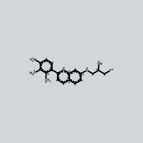 Cc1c(N)ccc(-c2ccc3ccc(OCC(O)CF)cc3n2)c1C